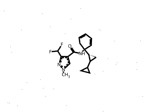 Cn1cc(C(=O)N[C@]2([C@@H]3CC3C3CC3)C=CC=CC2)c(C(F)F)n1